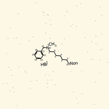 Br.CCCCCCCCCCCCCCCN(C)Cc1ccccc1